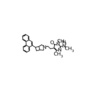 CNc1nc(C)c(CCN2CC3CC(c4cc5ccccc5c5ccccc45)C3C2)c(=O)n1C